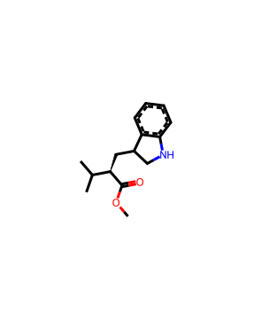 COC(=O)[C@H](CC1CNc2ccccc21)C(C)C